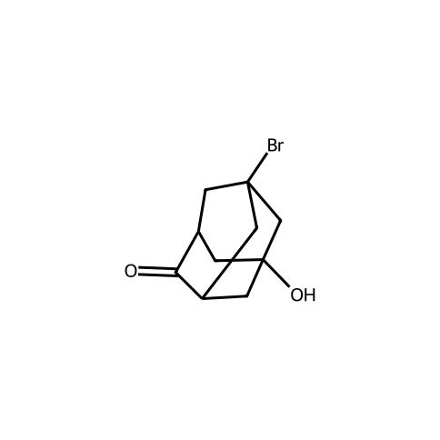 O=C1C2CC3(O)CC1CC(Br)(C2)C3